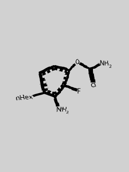 CCCCCCc1ccc(OC(N)=O)c(F)c1N